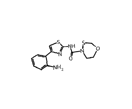 Nc1ccccc1-c1csc(NC(=O)N2CCOCS2)n1